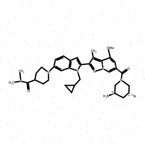 COc1cc(C(=O)N2C[C@H](N)C[C@@H](F)C2)cn2nc(-c3cc4ccc(N5CCC(C(=O)N(C)C)CC5)cc4n3CC3CC3)c(C)c12